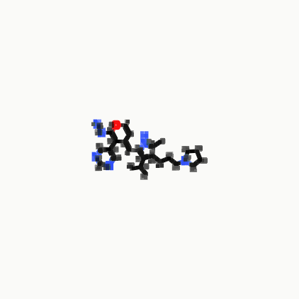 Cc1[nH]c(C=C2C=COC(N=[N])=C2c2cncnc2)c(C(C)C)c1CCCN1CCCC1